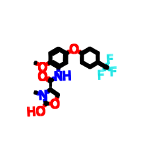 COc1ccc(OC2CCC(C(F)(F)F)CC2)cc1NC(=O)[C@H]1COC(O)N1C